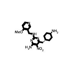 COc1ccncc1CNc1nc(N)c([N+](=O)[O-])c(C[C@H]2CC[C@H](N)CC2)n1